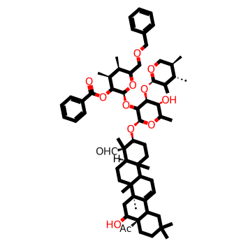 CC(=O)[C@]12CCC(C)(C)CC1C1=CCC3C4(C)CC[C@H](O[C@@H]5OC(C)[C@@H](O)[C@H](O[C@@H]6OC[C@@H](C)[C@H](C)C6C)C5O[C@@H]5OC(COCc6ccccc6)[C@H](C)[C@H](C)C5OC(=O)c5ccccc5)[C@](C)(C=O)[C@@H]4CCC3(C)[C@]1(C)CC2O